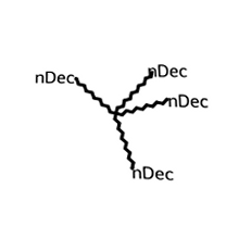 CCCCCCCCCCCCCCCCCCCCCC(CCCCCCCCCCCCCCCCCCCC)(CCCCCCCCCCCCCCCCCCCC)CCCCCCCCCCCCCCCCCCCC